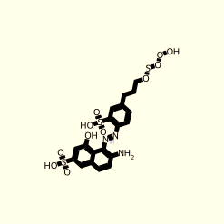 Nc1ccc2cc(S(=O)(=O)O)cc(O)c2c1/N=N/c1ccc(CCCOSOOO)cc1S(=O)(=O)O